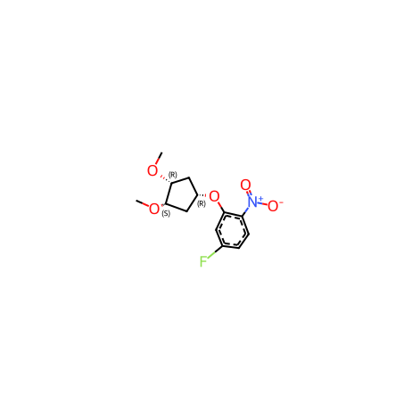 CO[C@H]1C[C@@H](Oc2cc(F)ccc2[N+](=O)[O-])C[C@H]1OC